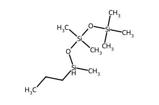 CCC[SiH](C)O[Si](C)(C)O[Si](C)(C)C